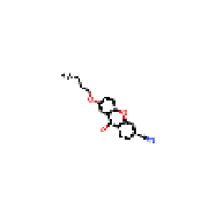 CCCCOc1ccc2oc3cc(C#N)ccc3c(=O)c2c1